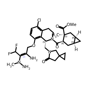 COC(=O)[C@@]1(C)C[C@H]2C[C@H]2C[C@H]1C(=O)N1CCc2c(Cl)ccc(OC/C(N)=C(\C(F)F)N(C)N)c2[C@H]1CN1CC2(CC2)CC1=O